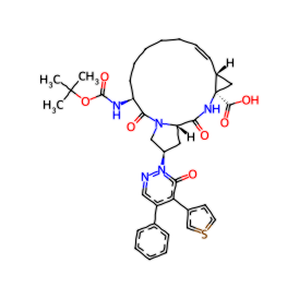 CC(C)(C)OC(=O)N[C@H]1CCCCC/C=C\[C@@H]2C[C@@]2(C(=O)O)NC(=O)[C@@H]2C[C@@H](n3ncc(-c4ccccc4)c(-c4ccsc4)c3=O)CN2C1=O